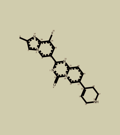 Cc1cn2cc(-c3nc(=O)n4cc(C5=CCNCC5)ccc4n3)cc(F)c2n1